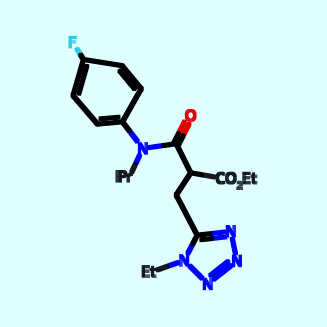 CCOC(=O)C(Cc1nnnn1CC)C(=O)N(c1ccc(F)cc1)C(C)C